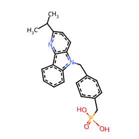 CC(C)c1ccc2c(n1)c1ccccc1n2Cc1ccc(CP(=O)(O)O)cc1